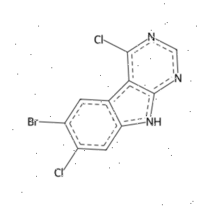 Clc1cc2[nH]c3ncnc(Cl)c3c2cc1Br